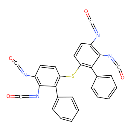 O=C=Nc1ccc(Sc2ccc(N=C=O)c(N=C=O)c2-c2ccccc2)c(-c2ccccc2)c1N=C=O